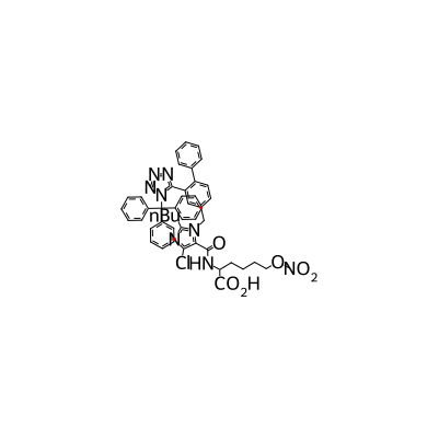 CCCCc1nc(Cl)c(C(=O)NC(CCCCO[N+](=O)[O-])C(=O)O)n1Cc1ccc(-c2ccccc2)c(-c2nnnn2C(c2ccccc2)(c2ccccc2)c2ccccc2)c1